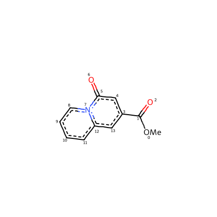 COC(=O)c1cc(=O)n2ccccc2c1